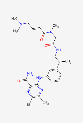 CCc1nc(C(N)=O)c(Nc2cccc([C@H](C)CNC(=O)CN(C)C(=O)/C=C/CN(C)C)c2)nc1C